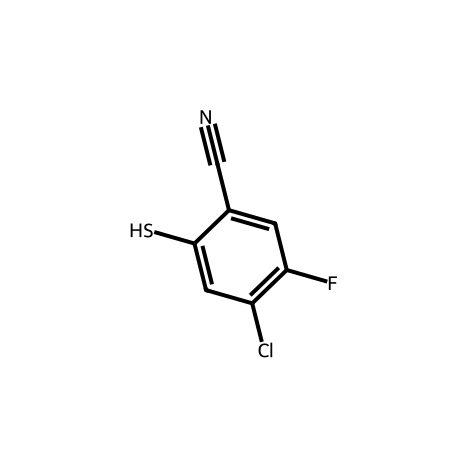 N#Cc1cc(F)c(Cl)cc1S